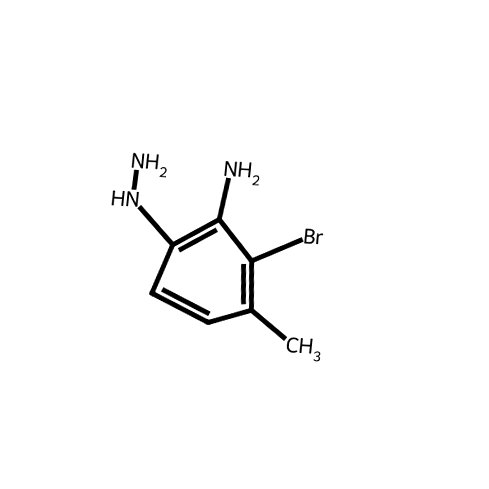 Cc1ccc(NN)c(N)c1Br